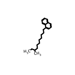 CCC(C)CCCCCCCCc1cccc2ccccc12